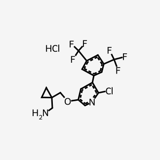 Cl.NCC1(COc2cnc(Cl)c(-c3cc(C(F)(F)F)cc(C(F)(F)F)c3)c2)CC1